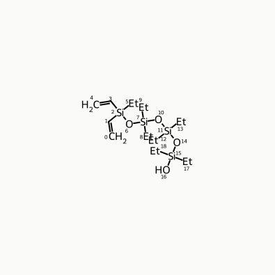 C=C[Si](C=C)(CC)O[Si](CC)(CC)O[Si](CC)(CC)O[Si](O)(CC)CC